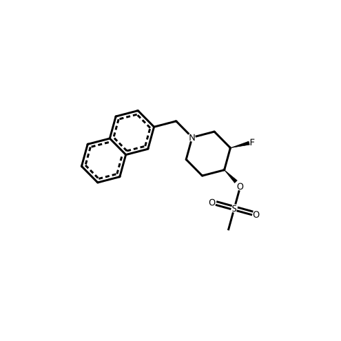 CS(=O)(=O)O[C@H]1CCN(Cc2ccc3ccccc3c2)C[C@H]1F